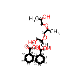 CC(O)COC(C)COC(C)CO.O=C(O)c1ccccc1.O=C(O)c1ccccc1